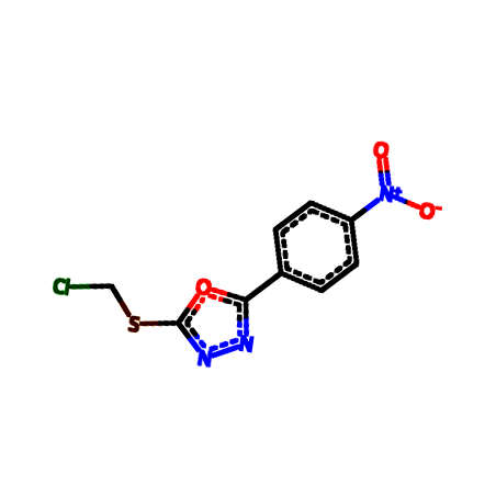 O=[N+]([O-])c1ccc(-c2nnc(SCCl)o2)cc1